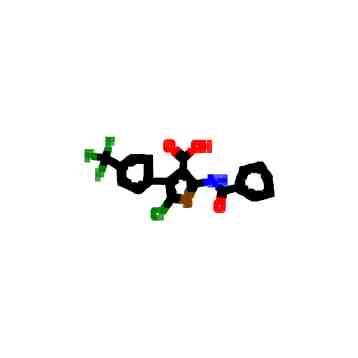 O=C(Nc1sc(Cl)c(-c2ccc(C(F)(F)F)cc2)c1C(=O)O)c1ccccc1